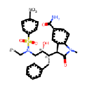 CC(C)CN(C[C@H](O)[C@@H](Cc1ccccc1)C1C(=O)N(C)c2ccc(C(N)=O)cc21)S(=O)(=O)c1ccc([N+](=O)[O-])cc1